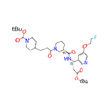 CC(C)(C)OC(=O)C[C@H](NC(=O)[C@@H]1CCCN(C(=O)CCC2CCN(C(=O)OC(C)(C)C)CC2)C1)c1cncc(OCCF)c1